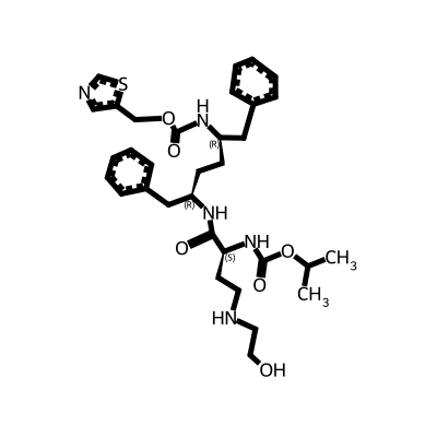 CC(C)OC(=O)N[C@@H](CCNCCO)C(=O)N[C@H](CC[C@H](Cc1ccccc1)NC(=O)OCc1cncs1)Cc1ccccc1